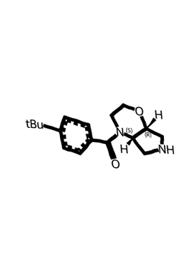 CC(C)(C)c1ccc(C(=O)N2CCO[C@@H]3CNC[C@@H]32)cc1